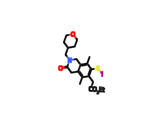 CCOC(=O)Cc1c(C)c2c(c(C)c1SI)CN(CC1CCOCC1)C(=O)C2